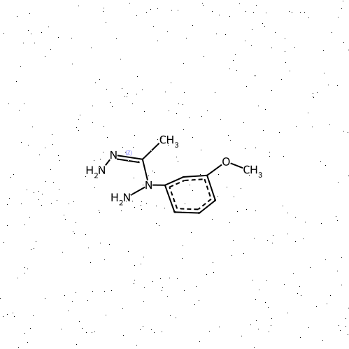 COc1cccc(N(N)/C(C)=N\N)c1